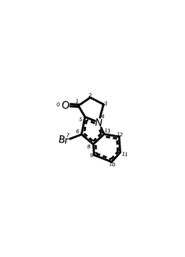 O=C1CCn2c1c(Br)c1ccccc12